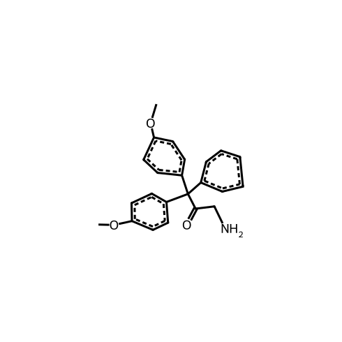 COc1ccc(C(C(=O)CN)(c2ccccc2)c2ccc(OC)cc2)cc1